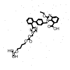 CCOc1nc2cccc(C(=O)O)c2n1Cc1ccc(-c2ccccc2-c2nnn(COC(=O)OCCCCON(O)O)n2)cc1